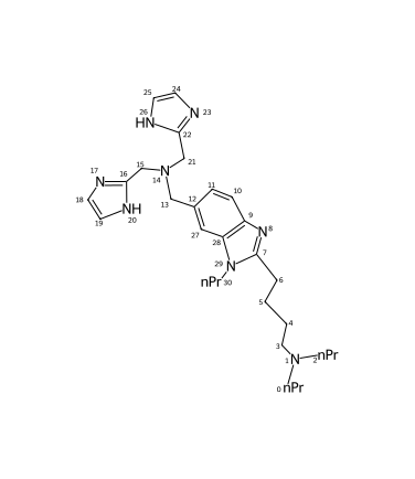 CCCN(CCC)CCCCc1nc2ccc(CN(Cc3ncc[nH]3)Cc3ncc[nH]3)cc2n1CCC